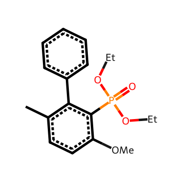 CCOP(=O)(OCC)c1c(OC)ccc(C)c1-c1ccccc1